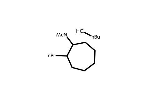 CCCC1CCCCCC1NC.CCCCO